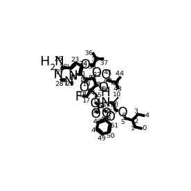 CCC(CC)COC(=O)[C@H](C)N[P@](=O)(OC[C@@]1(CF)O[C@@H](c2ccc3c(N)ncnn23)[C@H](OC(=O)C(C)C)[C@@H]1OC(=O)C(C)C)Oc1ccccc1